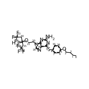 CCCCOc1ccc(Sc2nc(N)nc3c2ncn3CCOC(P)(CC(F)(F)F)CC(F)(F)F)cc1